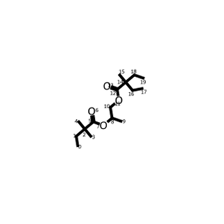 CCC(C)(C)C(=O)OC(C)COC(=O)C(C)(CC)CC